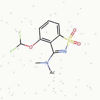 CC(=O)N(C)C1=NS(=O)(=O)c2cccc(OC(F)F)c21